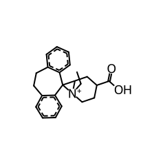 CC[N+]12CCC(C(=O)O)CC1C21c2ccccc2CCc2ccccc21